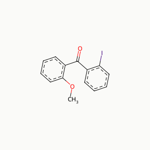 COc1ccccc1C(=O)c1ccccc1I